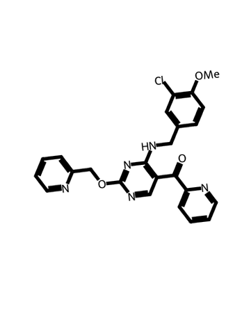 COc1ccc(CNc2nc(OCc3ccccn3)ncc2C(=O)c2ccccn2)cc1Cl